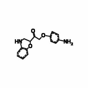 Nc1ccc(OCC(=O)C2CNc3ccccc3O2)cc1